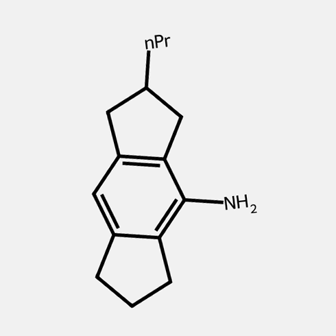 CCCC1Cc2cc3c(c(N)c2C1)CCC3